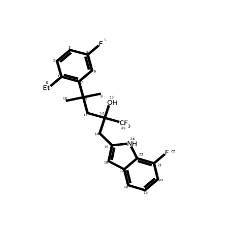 CCc1ccc(F)cc1C(C)(C)CC(O)(Cc1cc2cccc(F)c2[nH]1)C(F)(F)F